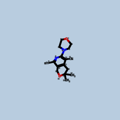 CCCc1nc(N2CCOCC2)c(C#N)c2c1COC(C)(C)C2